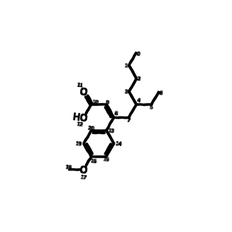 CCCCC(CC)CC(=CC(=O)O)c1ccc(OC)cc1